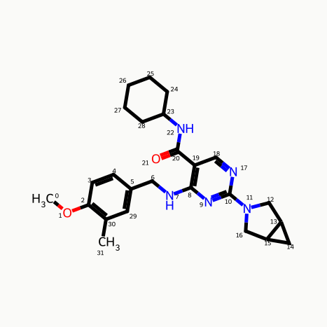 COc1ccc(CNc2nc(N3CC4CC4C3)ncc2C(=O)NC2CCCCC2)cc1C